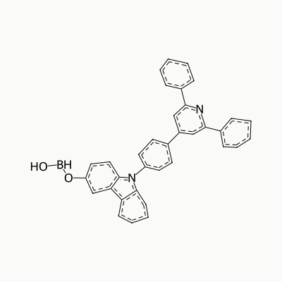 OBOc1ccc2c(c1)c1ccccc1n2-c1ccc(-c2cc(-c3ccccc3)nc(-c3ccccc3)c2)cc1